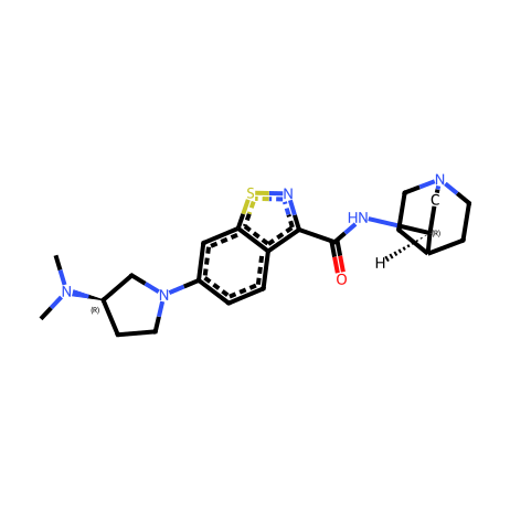 CN(C)[C@@H]1CCN(c2ccc3c(C(=O)N[C@H]4CN5CCC4CC5)nsc3c2)C1